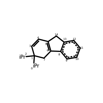 CC(C)C1(C(C)C)C=CC2=C(C1)c1ccccc1C2